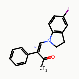 O=C(/C(=C\N1CCc2cc(I)ccc21)c1ccccc1)C(F)(F)F